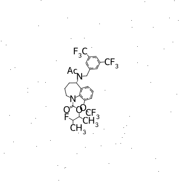 CC(=O)N(Cc1cc(C(F)(F)F)cc(C(F)(F)F)c1)C1CCCN(C(=O)OC(C)C(C)F)c2c(OC(F)(F)F)cccc21